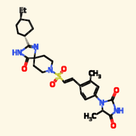 CC[C@H]1CC[C@H](C2=NC3(CCN(S(=O)(=O)/C=C/c4ccc(N5C(=O)NC(=O)C5C)cc4C)CC3)C(=O)N2)CC1